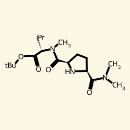 CC(C)[C@@H](C(=O)OC(C)(C)C)N(C)C(=O)[C@H]1CC[C@@H](C(=O)N(C)C)N1